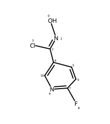 O/N=C(\Cl)c1ccc(F)nc1